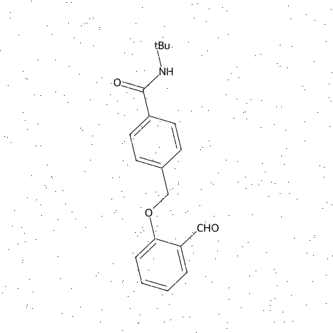 CC(C)(C)NC(=O)c1ccc(COc2ccccc2C=O)cc1